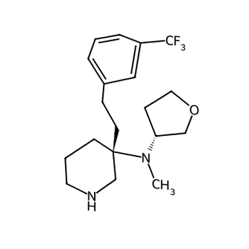 CN([C@@H]1CCOC1)[C@@]1(CCc2cccc(C(F)(F)F)c2)CCCNC1